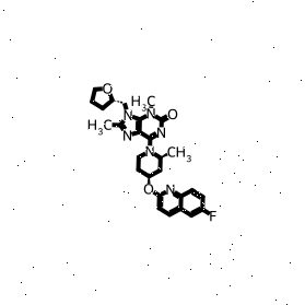 Cc1nc2c(N3CC[C@H](Oc4ccc5cc(F)ccc5n4)C[C@@H]3C)nc(=O)n(C)c2n1C[C@@H]1CCCO1